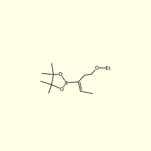 C/C=C(\CCOCC)B1OC(C)(C)C(C)(C)O1